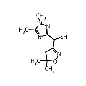 Cc1nc(C(S)C2=NOC(C)(C)C2)nn1C